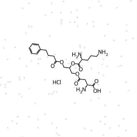 Cl.NCCC[C@H](N)C(=O)OC(COC(=O)CCCc1ccccc1)COC(=O)C[C@H](N)C(=O)O